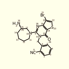 N#Cc1ccccc1Cn1c(N2CCCC[C@@H](N)C2)nc2c(Br)csc2c1=O